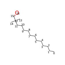 CCCCCCCCCCCCC(C)(C)C=O